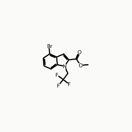 COC(=O)c1cc2c(Br)cccc2n1CC(F)(F)F